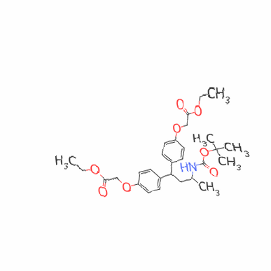 CCOC(=O)COc1ccc(C(CC(C)NC(=O)OC(C)(C)C)c2ccc(OCC(=O)OCC)cc2)cc1